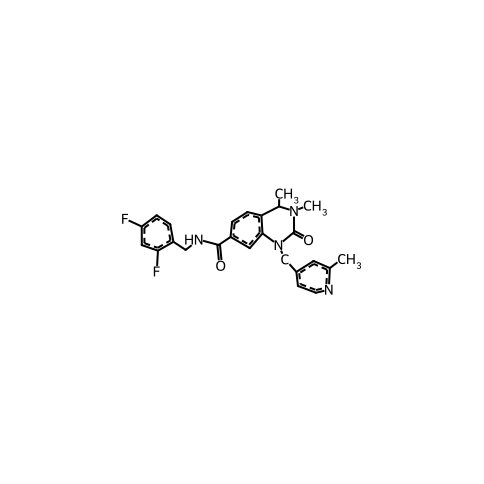 Cc1cc(CN2C(=O)N(C)C(C)c3ccc(C(=O)NCc4ccc(F)cc4F)cc32)ccn1